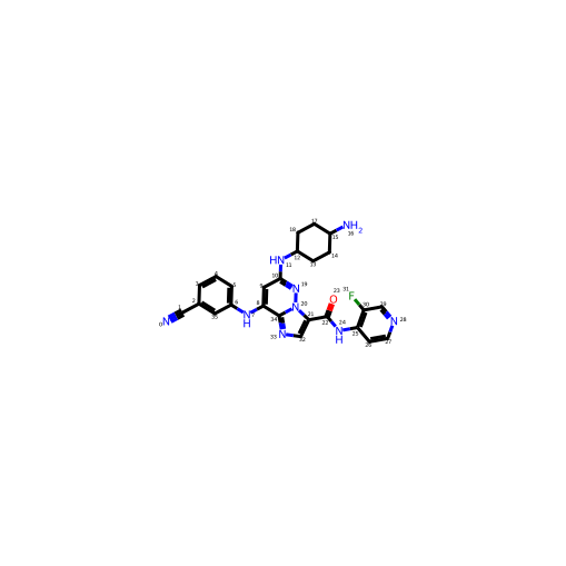 N#Cc1cccc(Nc2cc(NC3CCC(N)CC3)nn3c(C(=O)Nc4ccncc4F)cnc23)c1